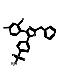 Cc1ccc(-c2nc(Cc3ccccc3)oc2-c2ccc(S(N)(=O)=O)cc2)c(F)c1